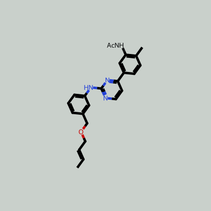 C/C=C/COCc1cccc(Nc2nccc(-c3ccc(C)c(NC(C)=O)c3)n2)c1